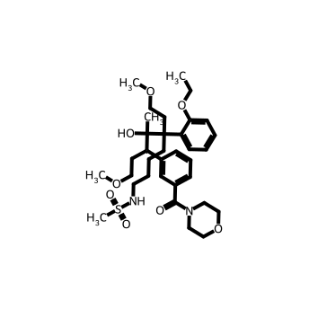 CCOc1ccccc1C(CCCCNS(C)(=O)=O)(CCOC)C(C)(O)[C](CCOC)c1cccc(C(=O)N2CCOCC2)c1